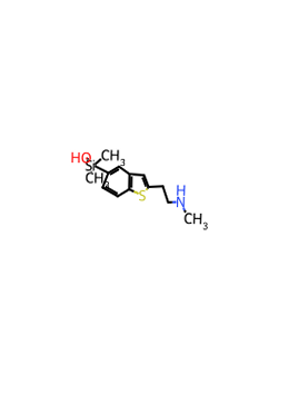 CNCCc1cc2cc([Si](C)(C)O)ccc2s1